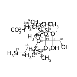 C=CC(=O)O.C[Si](C)(C)OC(O)(CO)C(OCCC[SiH3])(O[Si](C)(C)C)O[Si](C)(C)C